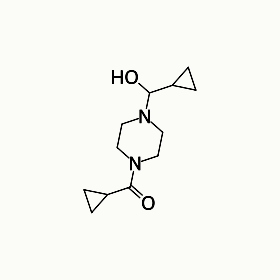 O=C(C1CC1)N1CCN(C(O)C2CC2)CC1